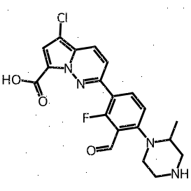 CC1CNCCN1c1ccc(-c2ccc3c(Cl)cc(C(=O)O)n3n2)c(F)c1C=O